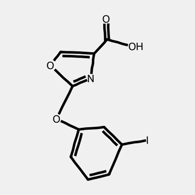 O=C(O)c1coc(Oc2cccc(I)c2)n1